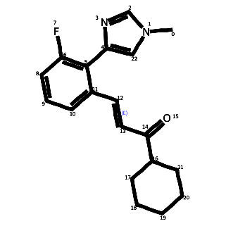 Cn1cnc(-c2c(F)cccc2/C=C/C(=O)C2CCCCC2)c1